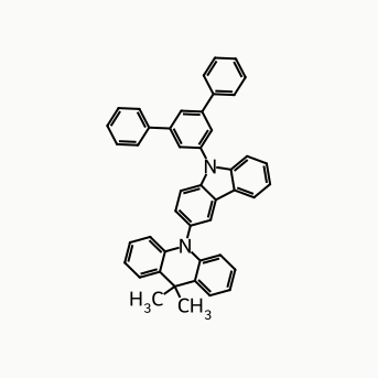 CC1(C)c2ccccc2N(c2ccc3c(c2)c2ccccc2n3-c2cc(-c3ccccc3)cc(-c3ccccc3)c2)c2ccccc21